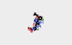 COCC(=O)N1C[C@@H](C)[C@H](NC(=O)c2c(C)[nH]c3c(-c4cc(F)ccc4OCC4CC4)ncnc23)C1